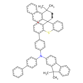 CC1(C)c2ccccc2-c2ccc(N(c3ccc(-c4ccccc4)cc3)c3ccc(-c4cccc5c4Sc4ccccc4C54c5ccccc5C(C)(C)c5c4ccc4ccccc54)cc3)cc21